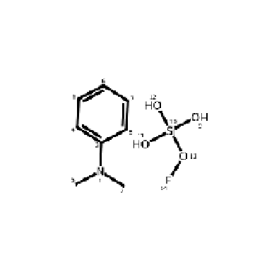 CN(C)c1ccccc1.O[Si](O)(O)OF